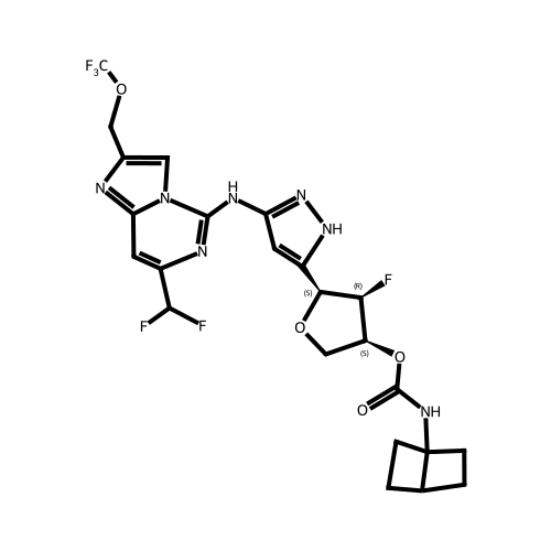 O=C(NC12CCC1CC2)O[C@H]1CO[C@@H](c2cc(Nc3nc(C(F)F)cc4nc(COC(F)(F)F)cn34)n[nH]2)[C@H]1F